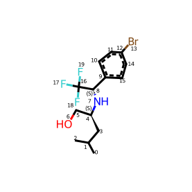 CC(C)C[C@@H](CO)N[C@@H](c1ccc(Br)cc1)C(F)(F)F